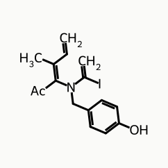 C=C/C(C)=C(/C(C)=O)N(Cc1ccc(O)cc1)C(=C)I